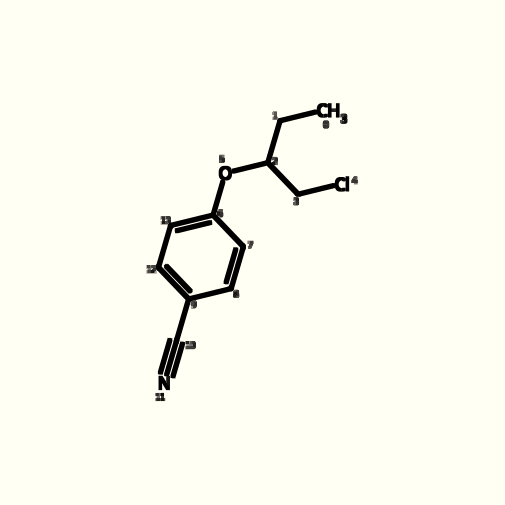 CCC(CCl)Oc1ccc(C#N)cc1